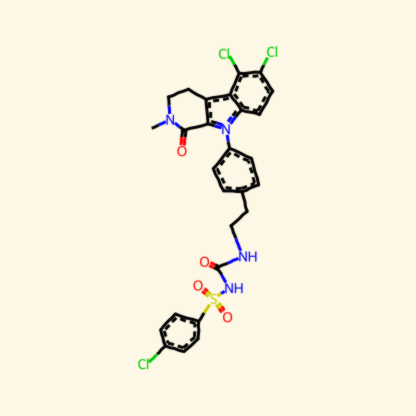 CN1CCc2c(n(-c3ccc(CCNC(=O)NS(=O)(=O)c4ccc(Cl)cc4)cc3)c3ccc(Cl)c(Cl)c23)C1=O